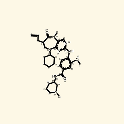 C=CCC1CN(C2CCCCC2)c2nc(Nc3ccc(C(=O)NC4CCCN(C)C4)cc3OC)ncc2N(C)C1=O